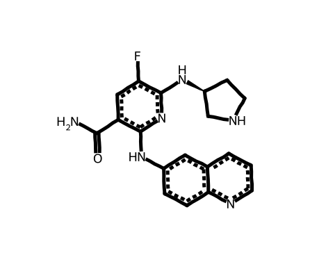 NC(=O)c1cc(F)c(N[C@H]2CCNC2)nc1Nc1ccc2ncccc2c1